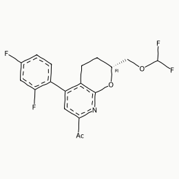 CC(=O)c1cc(-c2ccc(F)cc2F)c2c(n1)O[C@@H](COC(F)F)CC2